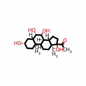 CC(=O)[C@@]1(O)CC[C@H]2[C@@H]3[C@H](O)[C@@H](O)[C@H]4C[C@@H](O)CC[C@]4(C)[C@H]3CC[C@@]21C